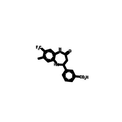 Cc1cc2c(cc1C(F)(F)F)NC(=O)CC(c1cccc(C(=O)O)c1)N2